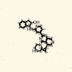 O[C@H]1Cc2ccccc2[C@@H]1Nc1cc(-c2nc(N3CCNCC3)c3c(C4CC4)cncc3n2)ccn1